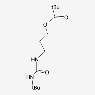 CC(C)(C)NC(=O)NCCCOC(=O)C(C)(C)C